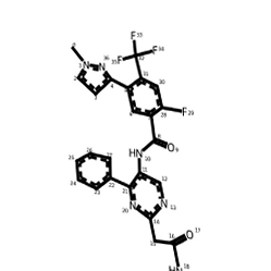 Cn1ccc(-c2cc(C(=O)Nc3cnc(CC(=O)NN)nc3-c3ccccc3)c(F)cc2C(F)(F)F)n1